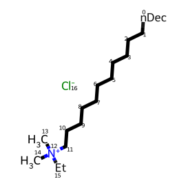 CCCCCCCCCCCCCCCCCCCCC[N+](C)(C)CC.[Cl-]